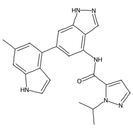 Cc1cc(-c2cc(NC(=O)c3ccnn3C(C)C)c3cn[nH]c3c2)c2cc[nH]c2c1